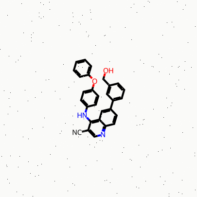 N#Cc1cnc2ccc(-c3cccc(CO)c3)cc2c1Nc1ccc(Oc2ccccc2)cc1